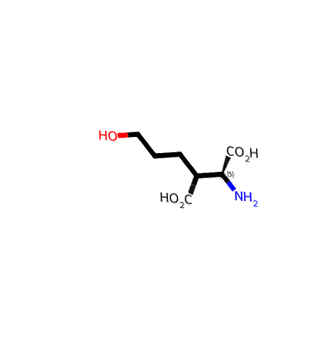 N[C@H](C(=O)O)C(CCCO)C(=O)O